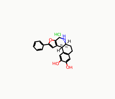 Cl.Oc1cc2c(cc1O)[C@@H]1c3cc(-c4ccccc4)oc3CN[C@H]1CC2